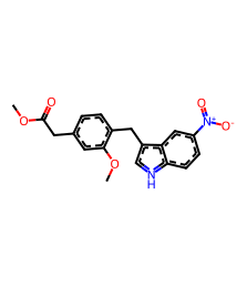 COC(=O)Cc1ccc(Cc2c[nH]c3ccc([N+](=O)[O-])cc23)c(OC)c1